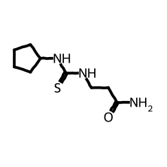 NC(=O)CCNC(=S)NC1CCCC1